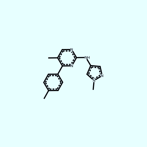 Cc1ccc(-c2nc(Nc3cnn(C)c3)ncc2C)cc1